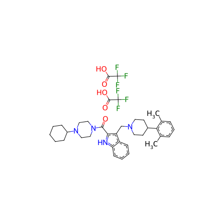 Cc1cccc(C)c1C1CCN(Cc2c(C(=O)N3CCN(C4CCCCC4)CC3)[nH]c3ccccc23)CC1.O=C(O)C(F)(F)F.O=C(O)C(F)(F)F